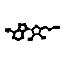 COOC=C1O[C@@H](n2cnc3c(N)ncnc32)C(O)C1O